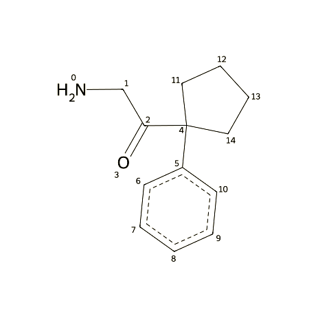 NCC(=O)C1(c2ccccc2)CCCC1